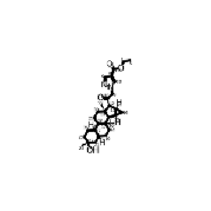 CCOC(=O)c1cnn(CC(=O)[C@H]2[C@H]3C[C@H]3C3[C@@H]4CC[C@@H]5C[C@](C)(O)CC[C@@H]5C4CC[C@@]32C)c1